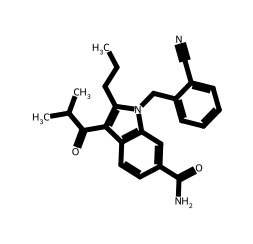 CCCc1c(C(=O)C(C)C)c2ccc(C(N)=O)cc2n1Cc1ccccc1C#N